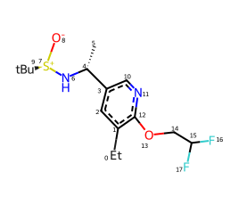 CCc1cc([C@@H](C)N[S@+]([O-])C(C)(C)C)cnc1OCC(F)F